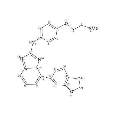 CNCCOc1ccc(Nc2nc3cccc(-c4ccc5c(c4)OCO5)n3n2)cc1